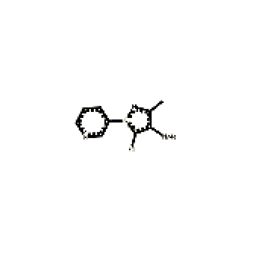 CNc1c(C)nn(-c2cccnc2)c1Cl